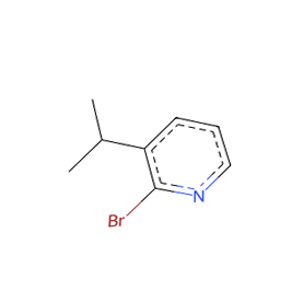 CC(C)c1cccnc1Br